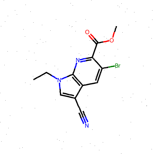 CCn1cc(C#N)c2cc(Br)c(C(=O)OC)nc21